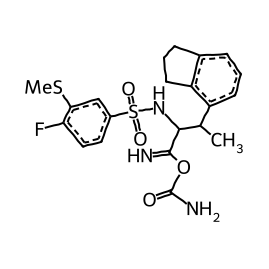 CSc1cc(S(=O)(=O)NC(C(=N)OC(N)=O)C(C)c2cccc3c2CCC3)ccc1F